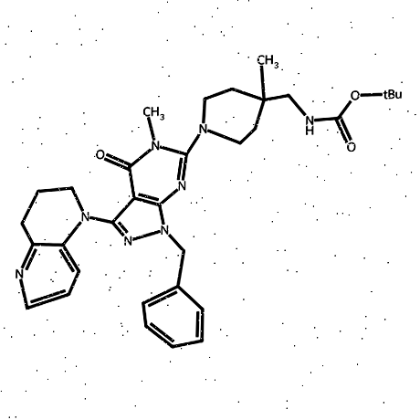 Cn1c(N2CCC(C)(CNC(=O)OC(C)(C)C)CC2)nc2c(c(N3CCCc4ncccc43)nn2Cc2ccccc2)c1=O